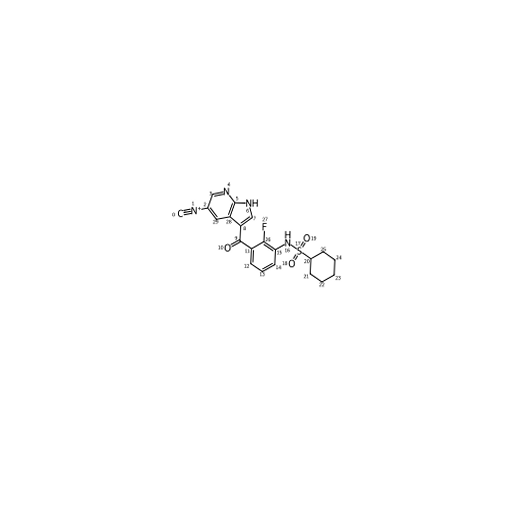 [C-]#[N+]c1cnc2[nH]cc(C(=O)c3cccc(NS(=O)(=O)C4CCCCC4)c3F)c2c1